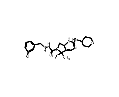 CC1(C)C2=CN=C(NC3CCOCC3)NC2CN1C(=O)NNCc1cccc(Cl)c1